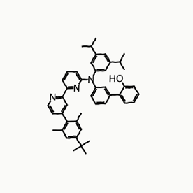 Cc1cc(C(C)(C)C)cc(C)c1-c1ccnc(-c2cccc(N(c3cccc(-c4ccccc4O)c3)c3cc(C(C)C)cc(C(C)C)c3)n2)c1